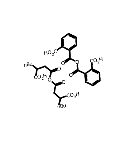 CCCCC(CC(=O)OC(=O)CC(CCCC)C(=O)O)C(=O)O.O=C(O)c1ccccc1C(=O)OC(=O)c1ccccc1C(=O)O